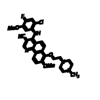 COc1cc(Nc2c(C#N)cnc3c2ccc2c(OCCN4CCN(C)CC4)c(OC)ccc23)c(Cl)cc1F